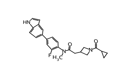 CN(C(=O)CC1CN(C(=O)C2CC2)C1)c1ccc(-c2ccc3[nH]ccc3c2)cc1F